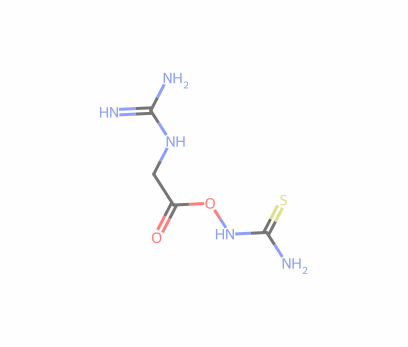 N=C(N)NCC(=O)ONC(N)=S